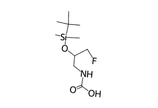 CC(C)(C)[Si](C)(C)OC(CF)CNC(=O)O